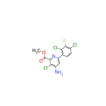 COC(=O)c1nc(-c2ccc(Cl)c(F)c2Cl)cc(N)c1Cl